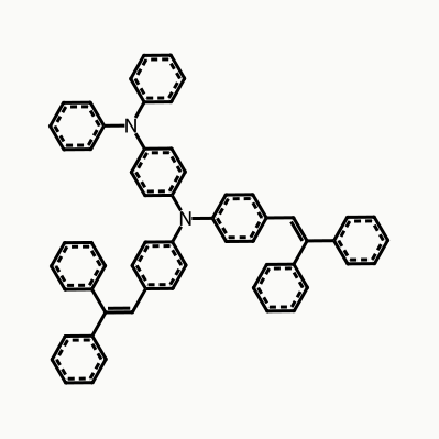 C(=C(c1ccccc1)c1ccccc1)c1ccc(N(c2ccc(C=C(c3ccccc3)c3ccccc3)cc2)c2ccc(N(c3ccccc3)c3ccccc3)cc2)cc1